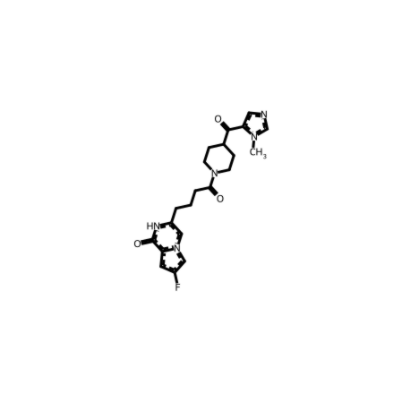 Cn1cncc1C(=O)C1CCN(C(=O)CCCc2cn3cc(F)cc3c(=O)[nH]2)CC1